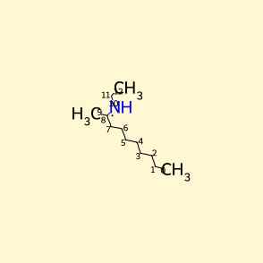 CCCCCCCC[C](C)NCC